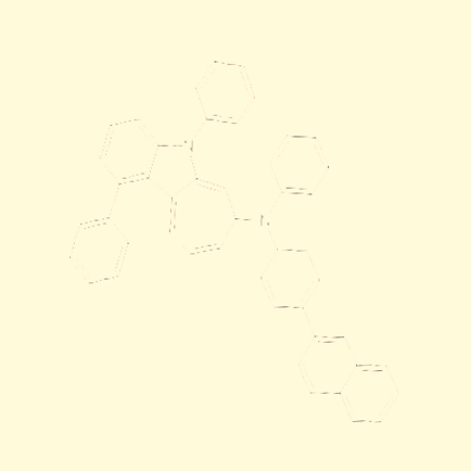 C1=CC(N(c2ccccc2)C2C=CC(c3ccc4ccccc4c3)=CC2)C=c2c(c3c(-c4ccccc4)cccc3n2-c2ccccc2)=C1